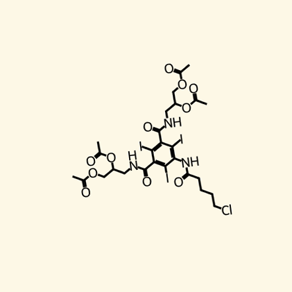 CC(=O)OCC(CNC(=O)c1c(I)c(NC(=O)CCCCCl)c(I)c(C(=O)NCC(COC(C)=O)OC(C)=O)c1I)OC(C)=O